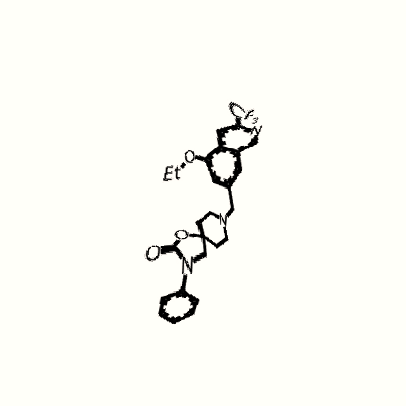 CCOc1cc(CN2CCC3(CC2)CN(c2ccccc2)C(=O)O3)cc2cnc(C(F)(F)F)cc12